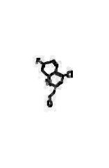 O=CCc1cc(Cl)c2ccc(F)cc2n1